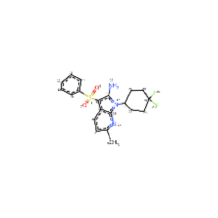 Cc1ccc2c(S(=O)(=O)c3ccccc3)c(N)n(C3CCC(F)(F)CC3)c2n1